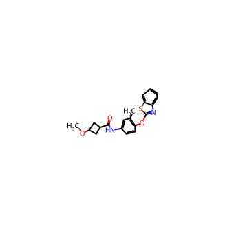 COC1CC(C(=O)Nc2ccc(Oc3nc4ccccc4s3)c(C)c2)C1